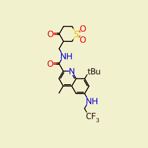 Cc1cc(C(=O)NCC2CS(=O)(=O)CCC2=O)nc2c(C(C)(C)C)cc(NCC(F)(F)F)cc12